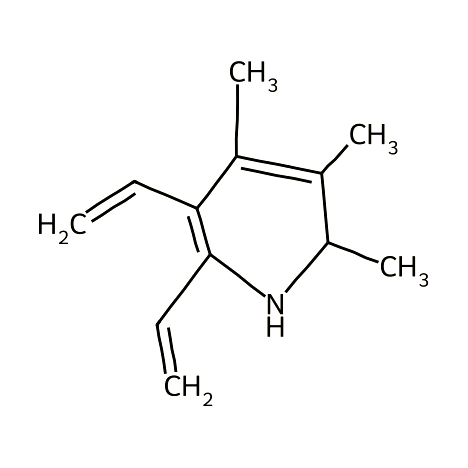 C=CC1=C(C=C)C(C)=C(C)C(C)N1